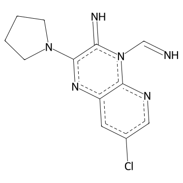 N=Cn1c(=N)c(N2CCCC2)nc2cc(Cl)cnc21